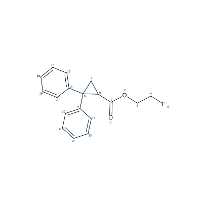 O=C(OCCF)C1CC1(c1ccccc1)c1ccccc1